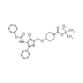 CC(C)(C)OC(=O)N1CCC(OCc2nn(-c3ccccc3)c(NC(=O)Oc3ccccc3)c2Cl)CC1